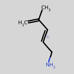 C=C(C)/C=C/CN